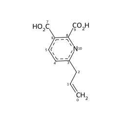 C=CCc1ccc(C(=O)O)c(C(=O)O)n1